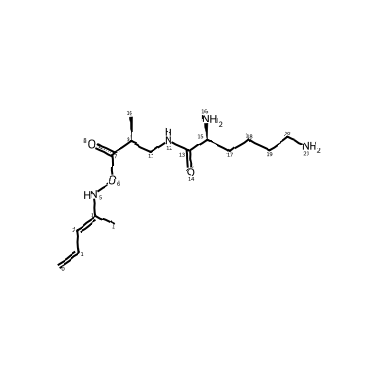 C=C/C=C(\C)NOC(=O)[C@@H](C)CNC(=O)[C@@H](N)CCCCN